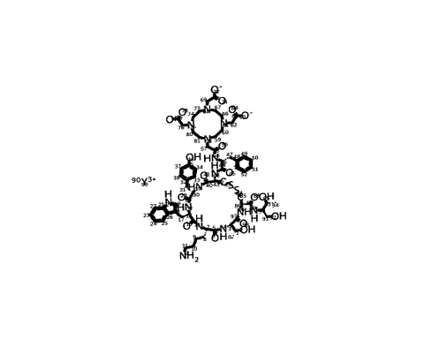 C[C@@H](O)[C@@H]1NC(=O)[C@H](CCCCN)NC(=O)[C@@H](Cc2c[nH]c3ccccc23)NC(=O)[C@H](Cc2ccc(O)cc2)NC(=O)[C@@H](NC(=O)[C@@H](Cc2ccccc2)NC(=O)CN2CCN(CC(=O)[O-])CCN(CC(=O)[O-])CCN(CC(=O)[O-])CC2)CSSC[C@@H](C(=O)N[C@H](CO)[C@@H](C)O)NC1=O.[90Y+3]